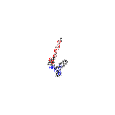 CCOCCOCCOCCOCCC(=O)OC(CCNc1cc(N2CCc3ccccc3CC2)nc(-c2ccccn2)n1)C(C)C